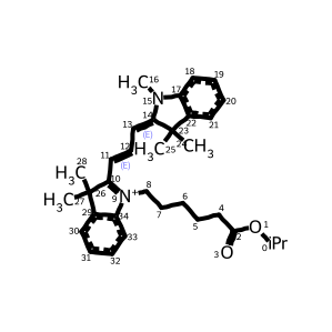 CC(C)OC(=O)CCCCC[N+]1=C(/C=C/C=C2/N(C)c3ccccc3C2(C)C)C(C)(C)c2ccccc21